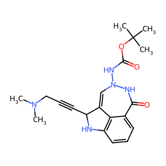 CN(C)CC#CC1Nc2cccc3c2C1=CN(NC(=O)OC(C)(C)C)NC3=O